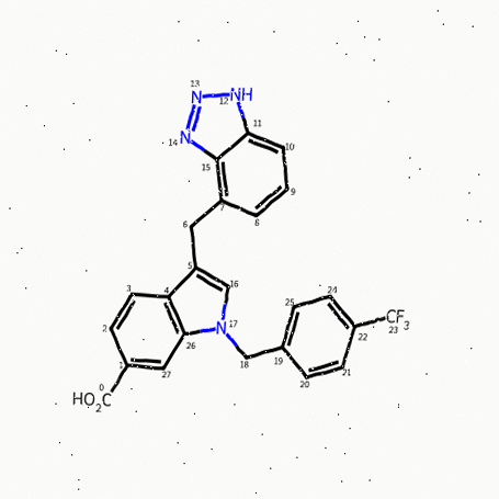 O=C(O)c1ccc2c(Cc3cccc4[nH]nnc34)cn(Cc3ccc(C(F)(F)F)cc3)c2c1